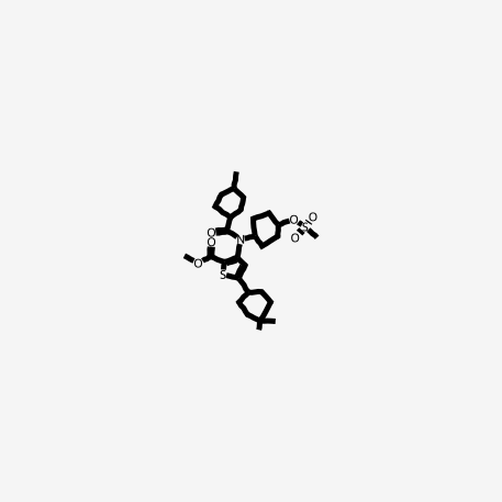 COC(=O)c1sc(C2CCC(C)(C)CC2)cc1N(C(=O)C1CCC(C)CC1)C1CCC(OS(C)(=O)=O)CC1